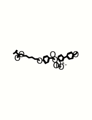 C=C(C)C(=O)OCCCCCCOc1ccc(C(=O)Oc2ccc(-c3ccc(OC)cc3)cc2[N+](=O)[O-])cc1